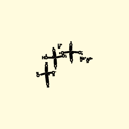 O=S(=O)([O-])O.O=S(=O)([O-])[O-].O=S(=O)([O-])[O-].[Al+3].[Li+].[Na+]